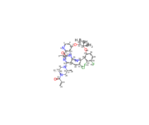 B[C@@H]1Oc2ccnc(C(C)C)c2-n2c(=O)nc(N3C[C@@H](C)N(C(=O)C=C)C[C@@H]3C)c3cc(Cl)c(nc32)-c2c(ccc(F)c2F)OC1(B)B